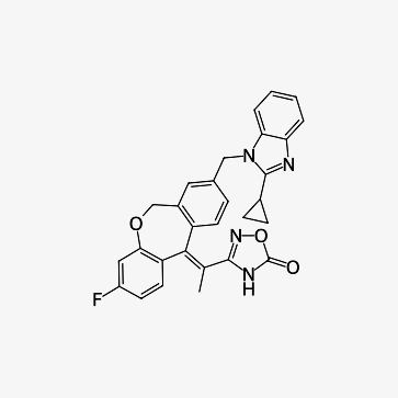 CC(=C1c2ccc(Cn3c(C4CC4)nc4ccccc43)cc2COc2cc(F)ccc21)c1noc(=O)[nH]1